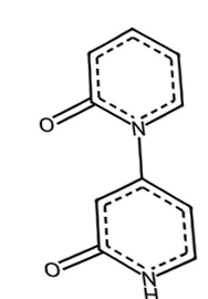 O=c1cc(-n2ccccc2=O)cc[nH]1